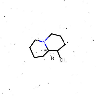 CC1CCCN2CCCC[C@H]12